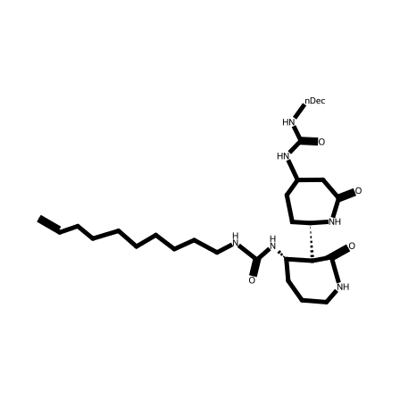 C=CCCCCCCCCNC(=O)N[C@H]1CCCNC(=O)C1[C@@H]1CCC(NC(=O)NCCCCCCCCCC)CC(=O)N1